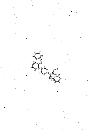 CCn1c(-c2ccc(-c3cccc4c3oc3ccccc34)cc2)nc2ccccc21